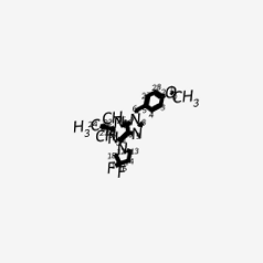 COc1ccc(Cn2cnc3c(N4CCC(F)(F)C4)nc(C(C)(C)C)nc32)cc1